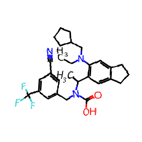 CCN(CC1CCCC1)c1cc2c(cc1C(C)N(Cc1cc(C#N)cc(C(F)(F)F)c1)C(=O)O)CCC2